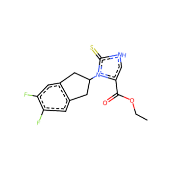 CCOC(=O)c1c[nH]c(=S)n1C1Cc2cc(F)c(F)cc2C1